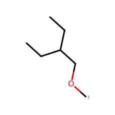 [CH]OCC(CC)CC